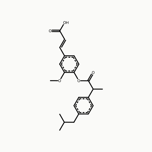 COc1cc(/C=C/C(=O)O)ccc1OC(=O)C(C)c1ccc(CC(C)C)cc1